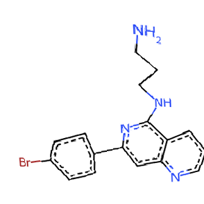 NCCCNc1nc(-c2ccc(Br)cc2)cc2ncccc12